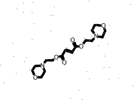 O=C(C=CC(=O)OCCN1CCOCC1)OCCN1CCOCC1